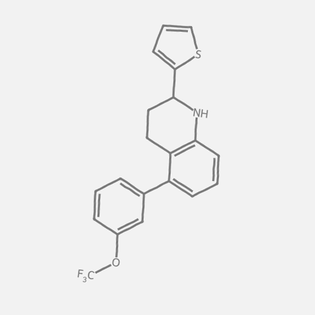 FC(F)(F)Oc1cccc(-c2cccc3c2CCC(c2cccs2)N3)c1